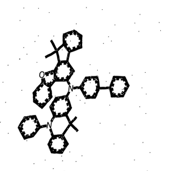 CC1(C)c2ccccc2N(c2ccccc2)c2ccc(N(c3ccc(-c4ccccc4)cc3)c3cc4c(c5oc6ccccc6c35)C(C)(C)c3ccccc3-4)cc21